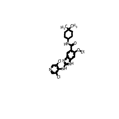 CCOc1cc2[nH]c(Nc3c(Cl)cncc3Cl)nc2cc1C(=O)NC1CCC(C)(C)CC1